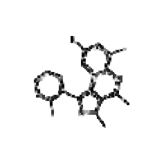 Cc1ccccc1-c1nc(C)c2c(C)nc3c(C)cc(F)cc3n12